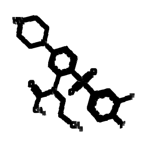 CCCN(C(C)=O)c1cc(N2CCNCC2)ccc1S(=O)(=O)c1ccc(F)c(F)c1